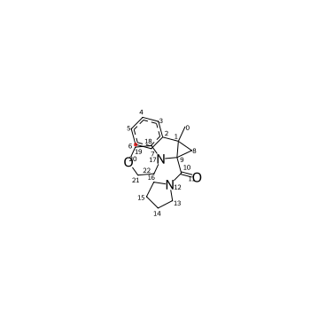 CC1(c2ccccc2)CC1(C(=O)N1CCCC1)N1CCOCC1